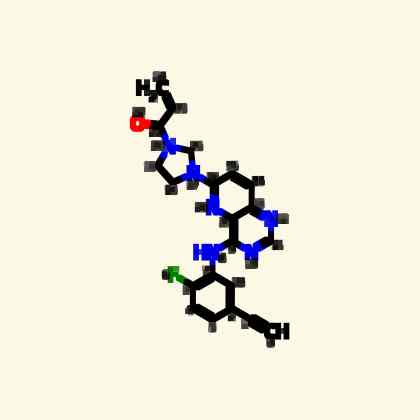 C#Cc1ccc(F)c(Nc2ncnc3ccc(N4CCN(C(=O)C=C)C4)nc23)c1